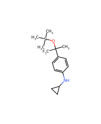 CC(O[Si](C)(C)C)(c1ccc(NC2CC2)cc1)C(F)(F)F